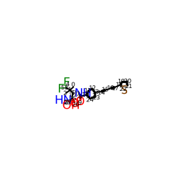 CC(C)(C(F)F)[C@H](NC(=O)c1ccc(C#CC#Cc2cccs2)cc1)C(=O)NO